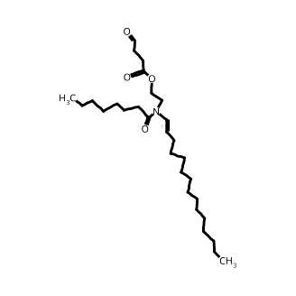 CCCCCCCCCCCCC/C=C/N(CCOC(=O)CCC=O)C(=O)CCCCCCC